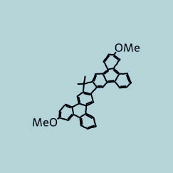 COc1ccc2c(c1)c1ccccc1c1cc3c(cc21)C(C)(C)c1cc2c4ccc(OC)cc4c4ccccc4c2cc1-3